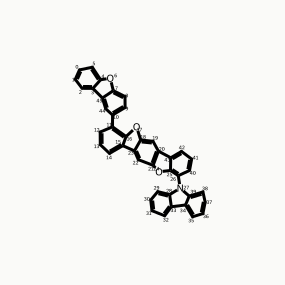 c1ccc2c(c1)oc1ccc(-c3cccc4c3oc3cc5c(cc34)oc3c(-n4c6ccccc6c6ccccc64)cccc35)cc12